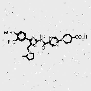 COc1ccc(-c2nc(NC(=O)c3cnc(N4CCC(C(=O)O)CC4)cn3)sc2CN2CCCC2C)cc1C(F)(F)F